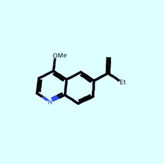 C=C(CC)c1ccc2nccc(OC)c2c1